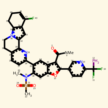 CNC(=O)c1c(-c2ccc(C(F)(F)P)nc2)oc2cc(N(C)S(C)(=O)=O)c(-c3ccc4c(n3)-c3cc5c(n3CC4)CCC=C5F)cc12